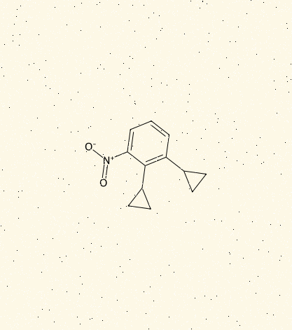 O=[N+]([O-])c1cccc(C2CC2)c1C1CC1